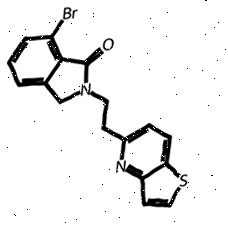 O=C1c2c(Br)cccc2CN1CCc1ccc2sccc2n1